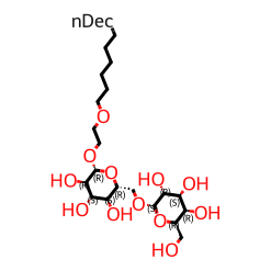 CCCCCCCCCCCCCCCCOCCO[C@@H]1O[C@H](CO[C@H]2O[C@H](CO)[C@H](O)[C@H](O)[C@H]2O)[C@@H](O)[C@H](O)[C@H]1O